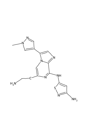 Cn1cc(-c2cnc3c(Nc4cc(N)ns4)nc(CCN)cn23)cn1